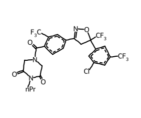 CCCN1C(=O)CN(C(=O)c2ccc(C3=NOC(c4cc(Cl)cc(C(F)(F)F)c4)(C(F)(F)F)C3)cc2C(F)(F)F)CC1=O